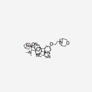 CN(C)C(C(=O)N1C2CC1CN(c1ccc(-c3cc(OCCN4C5CCC4COC5)cn4ncc(C#N)c34)cn1)C2)c1ccc(F)cc1